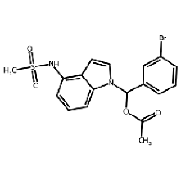 CC(=O)OC(c1cccc(Br)c1)n1ccc2c(NS(C)(=O)=O)cccc21